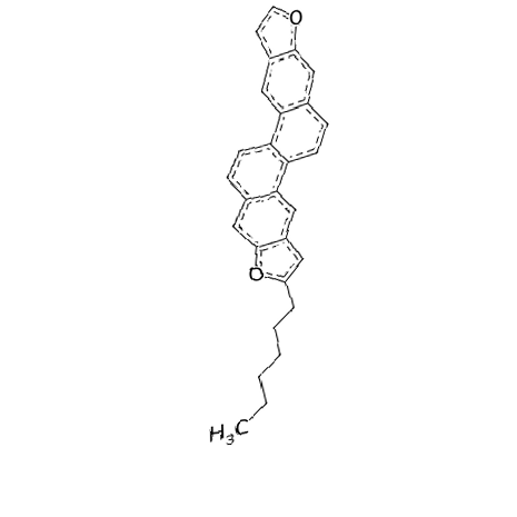 CCCCCCc1cc2cc3c(ccc4c5cc6ccoc6cc5ccc34)cc2o1